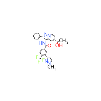 CC(O)c1ccn2nc(-c3ccccc3)c(NC(=O)c3ccc(C(F)(F)F)c(-c4ccn(C)n4)c3)c2c1